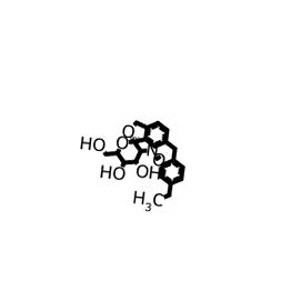 CCc1ccc(Cc2ccc3c(c2)[C@@]2(OC3)OC(CO)C(O)C(O)C2N=O)cc1